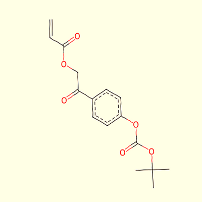 C=CC(=O)OCC(=O)c1ccc(OC(=O)OC(C)(C)C)cc1